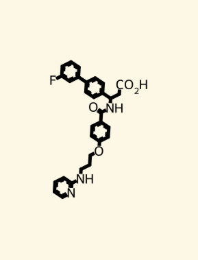 O=C(O)CC(NC(=O)c1ccc(OCCCNc2ccccn2)cc1)c1ccc(-c2cccc(F)c2)cc1